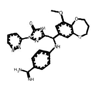 COc1cc(C(Nc2ccc(C(=N)N)cc2)c2nn(-c3cccnn3)c(=O)[nH]2)cc2c1OCCCO2